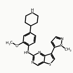 COc1cc(C2CCNCC2)ccc1Nc1ncc2scc(-c3ccnn3C)c2n1